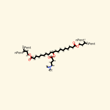 CCCCCC(CCCCC)CCOC(=O)CCCCCCCCC(CCCCCCCCC(=O)OCCC(CCCCC)CCCCC)OC(=O)CCCN(C)CC